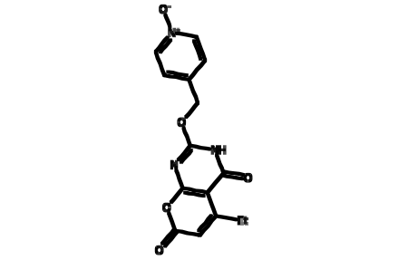 CCc1cc(=O)oc2nc(OCc3cc[n+]([O-])cc3)[nH]c(=O)c12